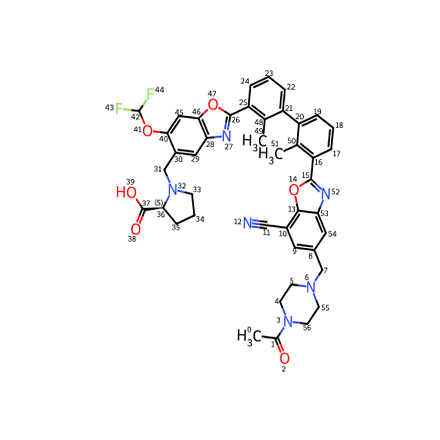 CC(=O)N1CCN(Cc2cc(C#N)c3oc(-c4cccc(-c5cccc(-c6nc7cc(CN8CCC[C@H]8C(=O)O)c(OC(F)F)cc7o6)c5C)c4C)nc3c2)CC1